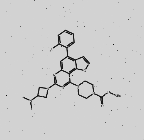 CN(C)C1CN(c2nc(N3CCN(C(=O)OC(C)(C)C)CC3)c3c(cc(-c4ccccc4C(F)(F)F)c4ccoc43)n2)C1